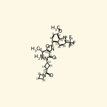 COc1ccc(-c2nc(C(=O)NC3CC(C(=O)N4CCC4)C3)c([C@H](C)N)o2)c2ccc(C(F)(F)F)nc12